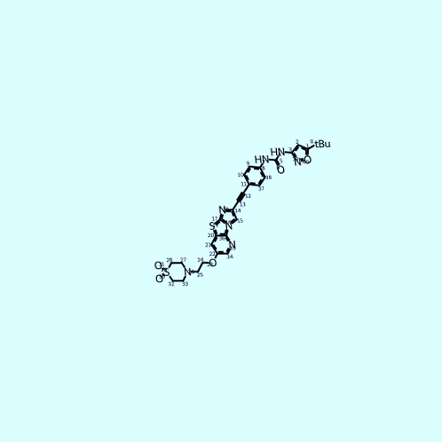 CC(C)(C)c1cc(NC(=O)Nc2ccc(C#Cc3cn4c(n3)sc3cc(OCCN5CCS(=O)(=O)CC5)cnc34)cc2)no1